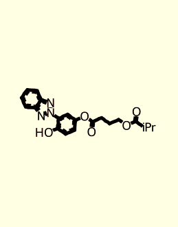 CC(C)C(=O)OCCCC(=O)Oc1ccc(O)c(-n2nc3ccccc3n2)c1